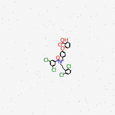 O=C(O)c1ccccc1Oc1ccc(CN(CCCc2c(Cl)cccc2Cl)C(=O)c2cc(Cl)cc(Cl)c2)cc1